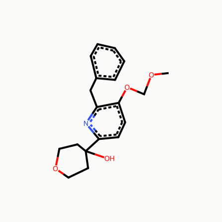 COCOc1ccc(C2(O)CCOCC2)nc1Cc1ccccc1